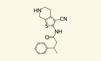 CC(CC(=O)Nc1sc2c(c1C#N)CCNC2)c1ccccc1